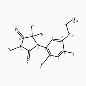 Cc1cc(F)c(N2C(=O)N(C)C(=O)C2(C)C)cc1SCC(F)(F)F